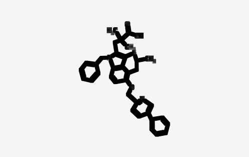 CC1Cc2c(OCc3ccc(-c4ccccc4)cn3)ccc3c2c(c(CC(C)(C)C(=O)O)n3Cc2ccccc2)S1